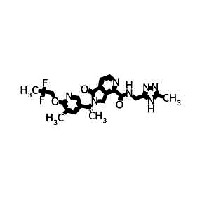 Cc1nnc(CNC(=O)c2nccc3c2CN([C@H](C)c2cnc(OCC(C)(F)F)c(C)c2)C3=O)[nH]1